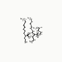 CCCCCCCC(CCS)C(=O)[O-].CCCCCCCC(CCS)C(=O)[O-].CCC[CH2][Sn+2]